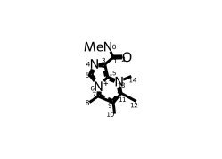 CNC(=O)c1nc[n+]2c(C)c(C)c(C)n(C)c1-2